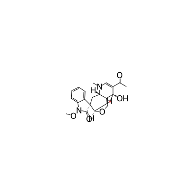 CON1C(=O)[C@@]2(C[C@H]3[C@H]4CO[C@@H]2C[C@@]4(O)C(C(C)=O)=CN3C)c2ccccc21